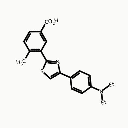 CCN(CC)c1ccc(-c2csc(-c3cc(C(=O)O)ccc3C)n2)cc1